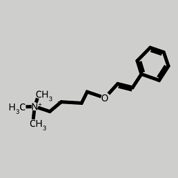 C[N+](C)(C)C[CH]CCOC=Cc1ccccc1